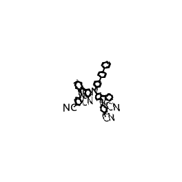 N#Cc1ccc(-n2c3ccccc3c3cc(N(c4ccc(-c5ccc(-c6ccccc6)cc5)cc4)c4ccc5c(c4)c4ccccc4n5-c4ccc(C#N)cc4C#N)ccc32)c(C#N)c1